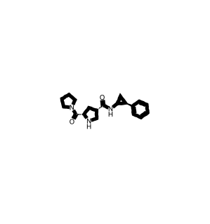 O=C(NC1C[C@H]1c1ccccc1)[C@@H]1CN[C@H](C(=O)N2CCCC2)C1